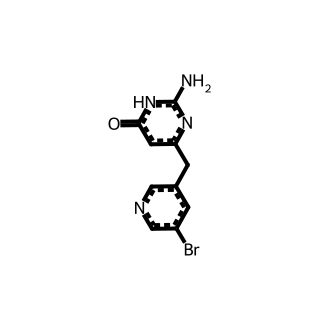 Nc1nc(Cc2cncc(Br)c2)cc(=O)[nH]1